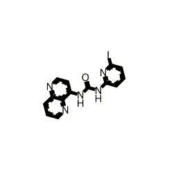 O=C(Nc1cccc(I)n1)Nc1ccnc2cccnc12